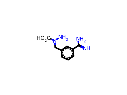 N=C(N)c1cccc(CN(N)C(=O)O)c1